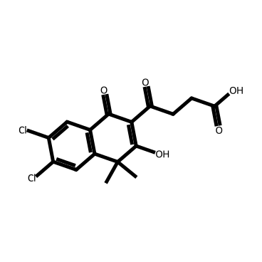 CC1(C)C(O)=C(C(=O)CCC(=O)O)C(=O)c2cc(Cl)c(Cl)cc21